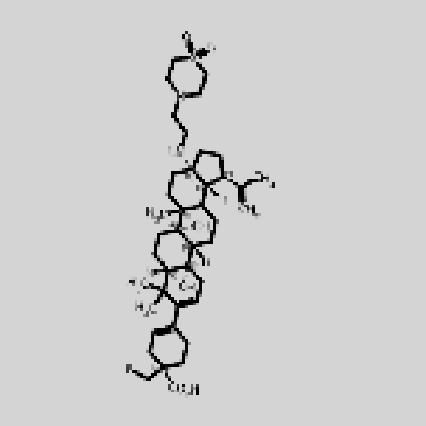 C=C(C)[C@@H]1CC[C@]2(NCCN3CCS(=O)(=O)CC3)CC[C@]3(C)C(CC[C@@H]4[C@@]5(C)CC=C(C6=CC[C@](CF)(C(=O)O)CC6)C(C)(C)[C@@H]5CC[C@]43C)[C@@H]12